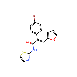 O=C(Nc1nccs1)/C(=C/c1ccco1)c1ccc(Br)cc1